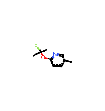 Cc1ccc(OC(C)(C)F)nc1